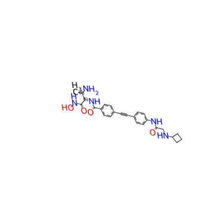 C[C@@H](N)[C@H](NC(=O)c1ccc(C#Cc2ccc(NC(=O)CNC3CCC3)cc2)cc1)C(=O)NO